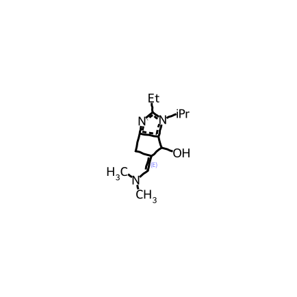 CCc1nc2c(n1C(C)C)C(O)/C(=C/N(C)C)C2